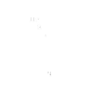 CC(C)(CC1=CCCc2ncccc21)[Si](C)(C)O